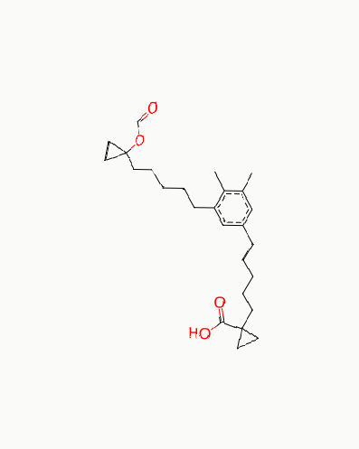 Cc1cc(CCCCCC2(C(=O)O)CC2)cc(CCCCCC2(OC=O)CC2)c1C